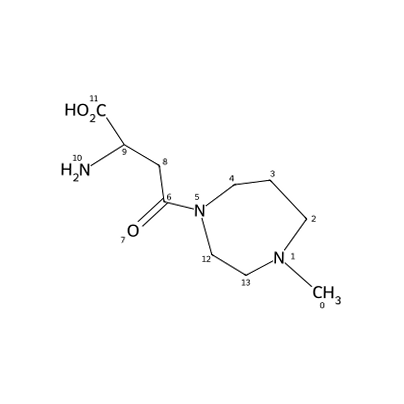 CN1CCCN(C(=O)CC(N)C(=O)O)CC1